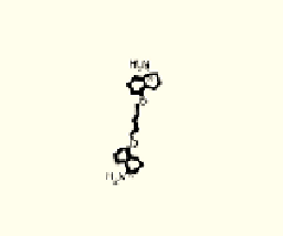 N[C@@H]1CCCc2c(OCCCCCOc3cccc4c3CCC[C@H]4N)cccc21